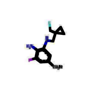 CCOC(=O)c1cc(I)c(N)c(NCC2(CF)CC2)c1